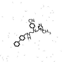 Cn1cncc1CN(CCNCc1ccc(-c2ccccc2)cc1)c1ccc(C#N)cc1